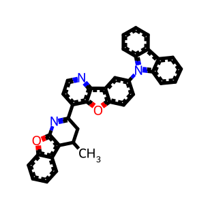 CC1CC(c2ccnc3c2oc2ccc(-n4c5ccccc5c5ccccc54)cc23)=Nc2oc3ccccc3c21